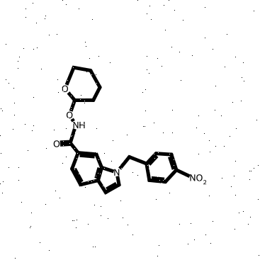 O=C(NOC1CCCCO1)c1ccc2ccn(Cc3ccc([N+](=O)[O-])cc3)c2c1